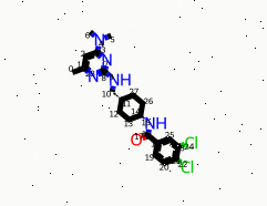 Cc1cc(N(C)C)nc(NC[C@H]2CC[C@@H](NC(=O)c3ccc(Cl)c(Cl)c3)CC2)n1